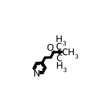 CC(C)(C)C(=O)CCc1ccncc1